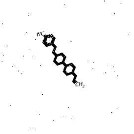 C=CCC1CCC(C2CCC(CCc3ccc(C#N)cc3)CC2)CC1